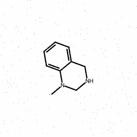 [CH2]N1CNCc2ccccc21